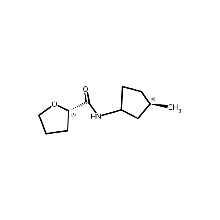 C[C@@H]1CCC(NC(=O)[C@@H]2CCCO2)C1